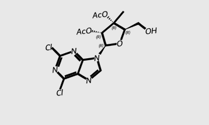 CC(=O)O[C@H]1[C@H](n2cnc3c(Cl)nc(Cl)nc32)O[C@H](CO)[C@@]1(C)OC(C)=O